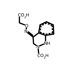 O=C(O)CO/N=C1/CN(C(=O)O)Nc2ccccc21